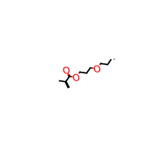 [CH2]CCOCCCOC(=O)C(=C)C